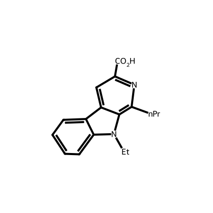 CCCc1nc(C(=O)O)cc2c3ccccc3n(CC)c12